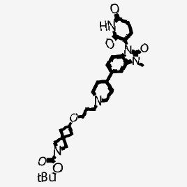 Cn1c(=O)n(C2CCC(=O)NC2=O)c2ccc(C3CCN(CCCOC4CC5(C4)CN(C(=O)OC(C)(C)C)C5)CC3)cc21